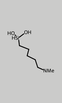 CNCCCCC[SiH](O)O